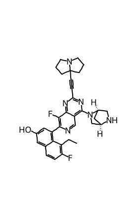 CCc1c(F)ccc2cc(O)cc(-c3ncc4c(N5C[C@H]6C[C@@H]5CN6)nc(C#CC56CCCN5CCC6)nc4c3F)c12